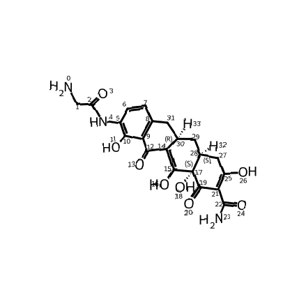 NCC(=O)Nc1ccc2c(c1O)C(=O)C1=C(O)[C@]3(O)C(=O)C(C(N)=O)=C(O)C[C@@H]3C[C@@H]1C2